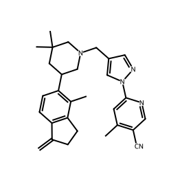 C=C1CCc2c1ccc(C1CN(Cc3cnn(-c4cc(C)c(C#N)cn4)c3)CC(C)(C)C1)c2C